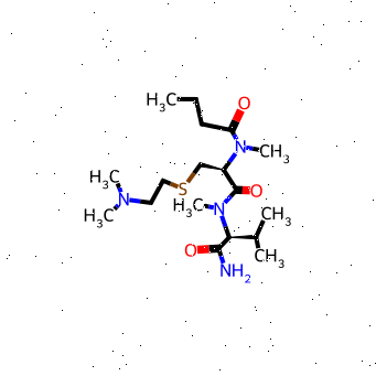 CCCC(=O)N(C)[C@H](CSCCN(C)C)C(=O)N(C)[C@H](C(N)=O)C(C)C